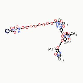 COc1cc2c(cc1OCCCCCOc1cc3c(cc1OC)C(=O)N1C=C(C)C[C@H]1[C@H](O)N3C(=O)OCc1ccc(NC(=O)[C@H](C)NC(=O)[C@@H](NC(=O)CCOCCOCCOCCOCCOCCOCCOCCOCCNC(=O)CCN3C(=O)CC(C4=C/C=C\C=C/C=C\4)C3O)C(C)C)cc1)N=C[C@@H]1CC(C)=CN1C2=O